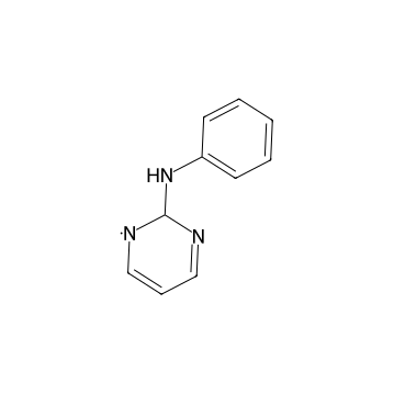 C1=C[N]C(Nc2ccccc2)N=C1